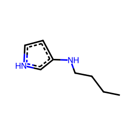 CCCCNc1cc[nH]c1